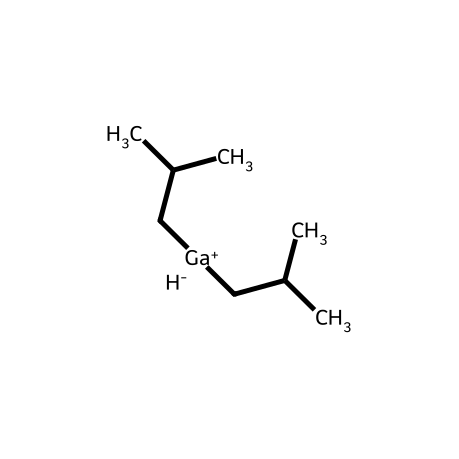 CC(C)[CH2][Ga+][CH2]C(C)C.[H-]